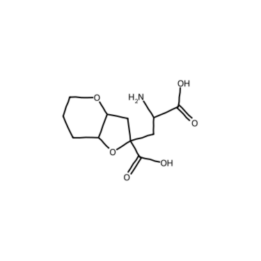 NC(CC1(C(=O)O)CC2OCCCC2O1)C(=O)O